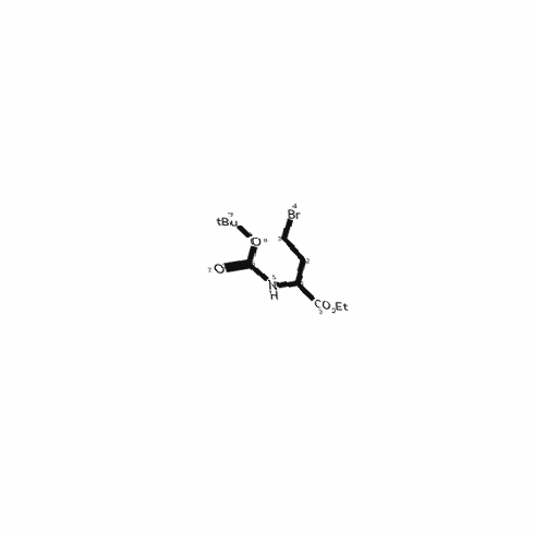 CCOC(=O)C(CCBr)NC(=O)OC(C)(C)C